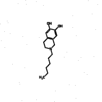 CCCCCCN1CCc2cc(O)c(O)cc2C1